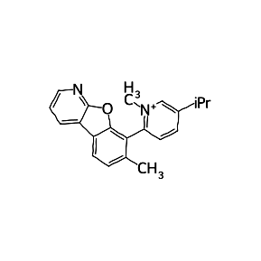 Cc1ccc2c(oc3ncccc32)c1-c1ccc(C(C)C)c[n+]1C